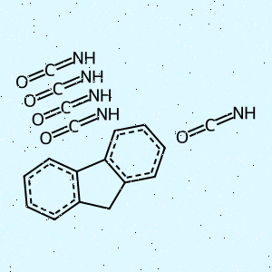 N=C=O.N=C=O.N=C=O.N=C=O.N=C=O.c1ccc2c(c1)Cc1ccccc1-2